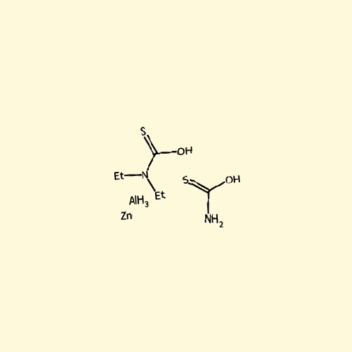 CCN(CC)C(O)=S.NC(O)=S.[AlH3].[Zn]